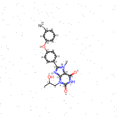 CC(O)Cn1c(=O)[nH]c(=O)c2c1nc(-c1ccc(Oc3cccc(C#N)c3)cc1)n2C